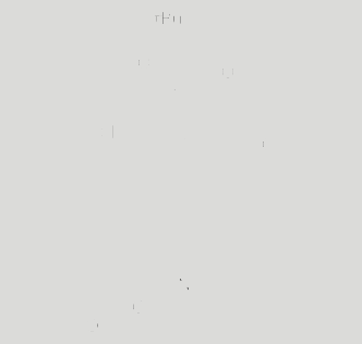 CC(C)(C)OC(=O)c1c(Cl)cc(N=C=O)cc1Cl